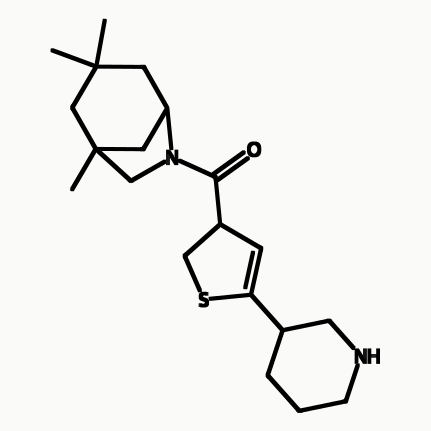 CC1(C)CC2CC(C)(CN2C(=O)C2C=C(C3CCCNC3)SC2)C1